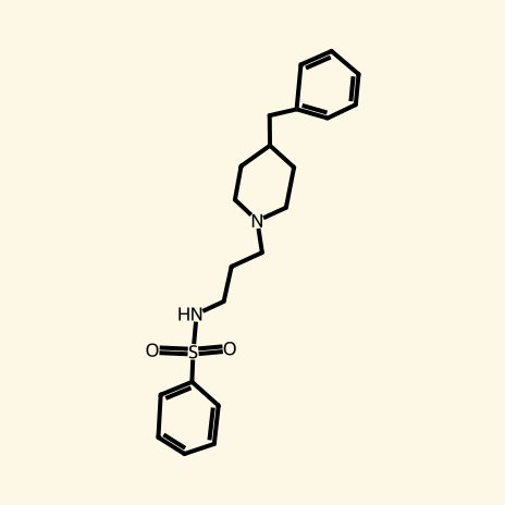 O=S(=O)(NCCCN1CCC(Cc2ccccc2)CC1)c1ccccc1